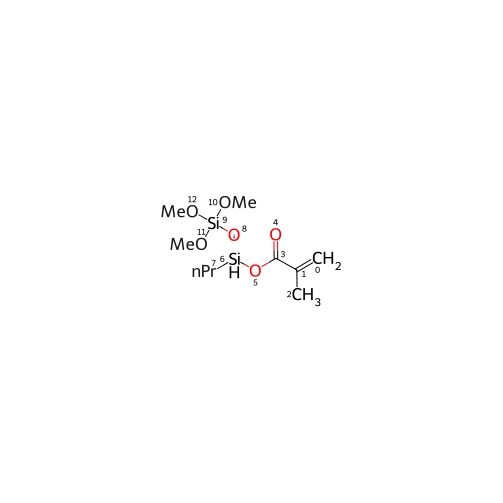 C=C(C)C(=O)O[SiH](CCC)O[Si](OC)(OC)OC